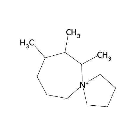 CC1CCC[N+]2(CCCC2)C(C)C1C